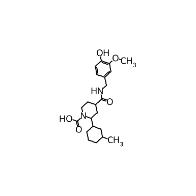 COc1cc(CNC(=O)C2CCN(C(=O)O)C(C3CCCC(C)C3)C2)ccc1O